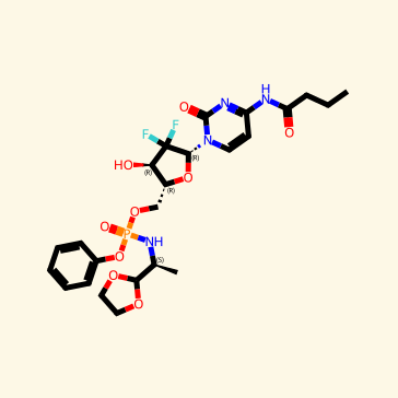 CCCC(=O)Nc1ccn([C@@H]2O[C@H](COP(=O)(N[C@@H](C)C3OCCO3)Oc3ccccc3)[C@@H](O)C2(F)F)c(=O)n1